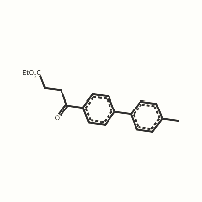 CCOC(=O)CCC(=O)c1ccc(-c2ccc(C)cc2)cc1